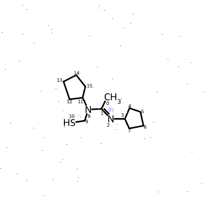 C/C(=N\C1CCCC1)N(CS)C1CCCC1